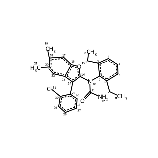 CCc1cccc(CC)c1N(C(N)=O)c1oc2cc(C)c(C)cc2c1-c1ccccc1Cl